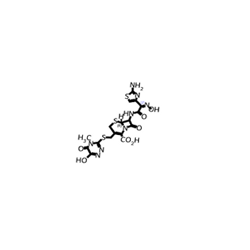 Cn1c(SCC2=C(C(=O)O)N3C(=O)C(NC(=O)/C(=N\O)c4csc(N)n4)[C@H]3SC2)nnc(O)c1=O